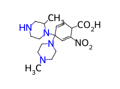 CC1CNCCN1C1(N2CCN(C)CC2)C=CC(C(=O)O)C([N+](=O)[O-])=C1